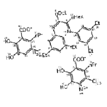 CCCCCCCCC(=Nc1cc(CC)cc(CC)c1)C(CCCCCC)=Nc1cc(CC)cc(CC)c1.CCCc1c(C)cc(O)c(O)c1C(=O)[O-].CCCc1c(C)cc(O)c(O)c1C(=O)[O-].[Ni+2]